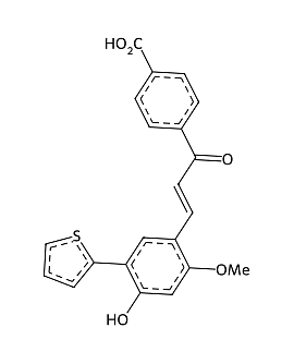 COc1cc(O)c(-c2cccs2)cc1C=CC(=O)c1ccc(C(=O)O)cc1